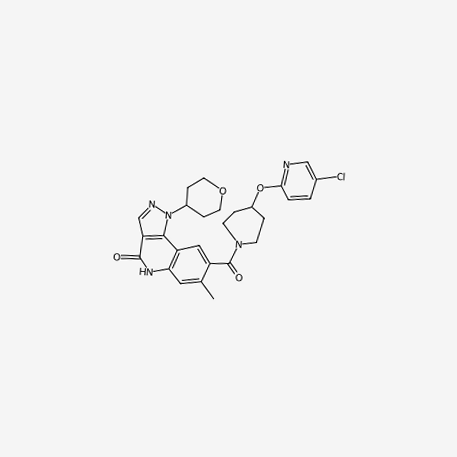 Cc1cc2[nH]c(=O)c3cnn(C4CCOCC4)c3c2cc1C(=O)N1CCC(Oc2ccc(Cl)cn2)CC1